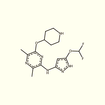 Cc1nc(C)c(OC2CCNCC2)nc1Nc1cc(OC(F)F)[nH]n1